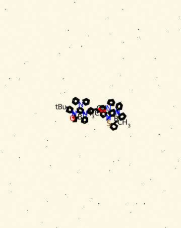 CC1B2c3ccccc3N(c3ccccc3)c3cc(N(c4ccccc4)c4ccccc4)cc(c32)N(c2ccc(C(C)(C)Cc3ccc(N4c5ccccc5B5c6ccoc6N(c6ccc(C(C)(C)C)cc6)c6cc(N(c7ccccc7)c7ccccc7)cc4c65)cc3)cc2)CSC2C=CCCC21